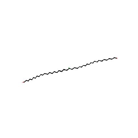 OCCCCCCCCCCCCCCCCCCCCCC(Cl)CCCCCCCCCCCCCCCCCCCCCO